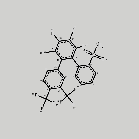 NS(=O)(=O)c1ccccc1-c1c(F)c(F)c(F)c(F)c1-c1ccc(C(F)(F)F)c(C(F)(F)F)c1